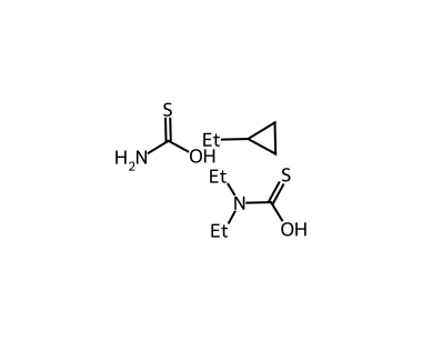 CCC1CC1.CCN(CC)C(O)=S.NC(O)=S